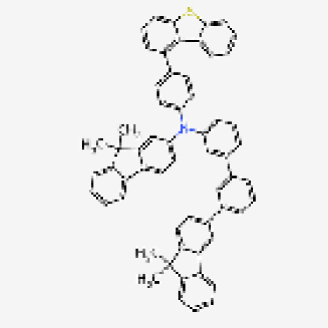 CC1(C)c2ccccc2-c2cc(-c3cccc(-c4cccc(N(c5ccc(-c6cccc7sc8ccccc8c67)cc5)c5ccc6c(c5)C(C)(C)c5ccccc5-6)c4)c3)ccc21